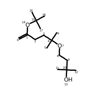 C=C(CCC(C)(C)OCCC(C)(C)O)OC(C)(C)C